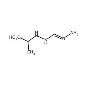 CC(NNC=NN)C(=O)O